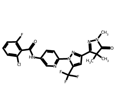 CN1N=C(c2cc(C(F)(F)F)n(-c3ccc(NC(=O)c4c(F)cccc4Cl)cn3)n2)C(C)(C)C1=O